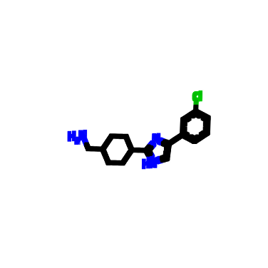 NCC1CCC(c2nc(-c3cccc(Cl)c3)c[nH]2)CC1